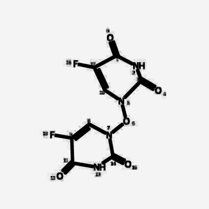 O=c1[nH]c(=O)n(On2cc(F)c(=O)[nH]c2=O)cc1F